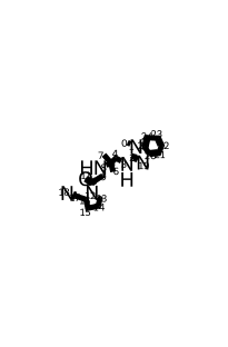 Cn1c(NCC(C)(C)NCC(=O)N2CCCC2C#N)nc2ccccc21